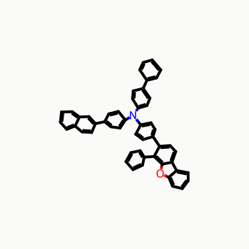 c1ccc(-c2ccc(N(c3ccc(-c4ccc5ccccc5c4)cc3)c3ccc(-c4ccc5c(oc6ccccc65)c4-c4ccccc4)cc3)cc2)cc1